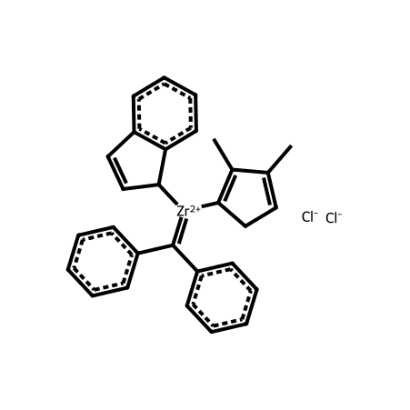 CC1=CC[C]([Zr+2](=[C](c2ccccc2)c2ccccc2)[CH]2C=Cc3ccccc32)=C1C.[Cl-].[Cl-]